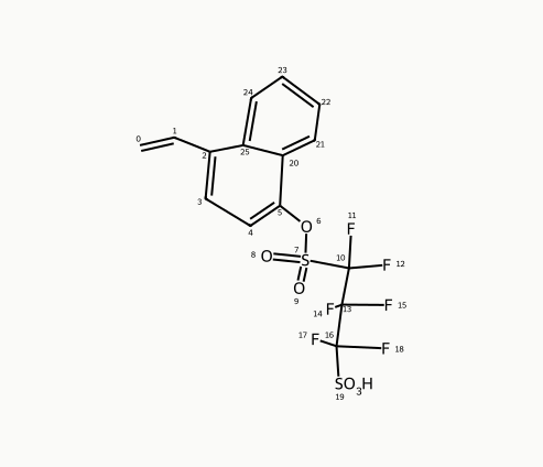 C=Cc1ccc(OS(=O)(=O)C(F)(F)C(F)(F)C(F)(F)S(=O)(=O)O)c2ccccc12